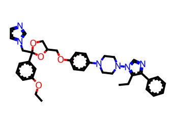 CCOc1cccc(C2(Cn3ccnc3)OCC(COc3ccc(N4CCN(n5cnc(-c6ccccc6)c5CC)CC4)cc3)O2)c1